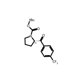 CC(C)(C)OC(=O)N1CCC[C@H]1C(=O)c1ccc(C(F)(F)F)cc1